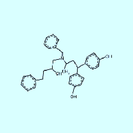 CC(CC(c1ccc(O)cc1)c1ccc(O)cc1)N(Cc1ccccc1)CC(O)CCc1ccccc1